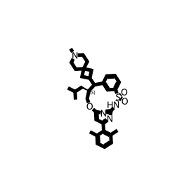 Cc1cccc(C)c1-c1cc2nc(n1)NS(=O)(=O)c1cccc(c1)C(C1CC3(CCN(C)CC3)C1)[C@H](CC(C)C)CO2